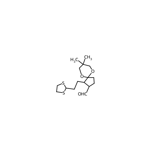 CC1(C)COC2(CCC(C=O)C2CCC2SCCS2)OC1